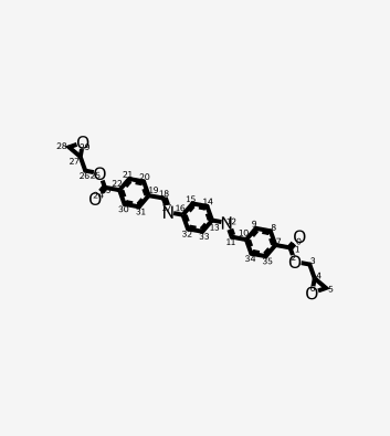 O=C(OCC1CO1)c1ccc(C=Nc2ccc(N=Cc3ccc(C(=O)OCC4CO4)cc3)cc2)cc1